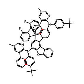 Cc1cnc(N(c2ccc(C(C)(C)C)cc2)c2ccc3c(c2)C2(c4cccc(F)c4-c4c(F)cccc42)c2cc(N(c4ccc(C(C)(C)C)cc4)c4ncc(C)cc4-c4ccccc4)c4oc5ccccc5c4c2-3)c(-c2ccccc2)c1